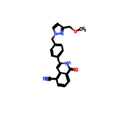 COCc1ccn(Cc2ccc(-c3cc4c(C#N)cccc4c(=O)[nH]3)cc2)n1